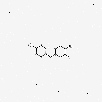 CC1CC(CC2CCC(N)CC2)CCC1N